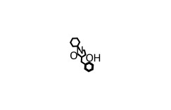 O=C1C(Cc2ccccc2O)CCN1C1CCCCC1